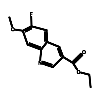 CCOC(=O)c1cnc2cc(OC)c(F)cc2c1